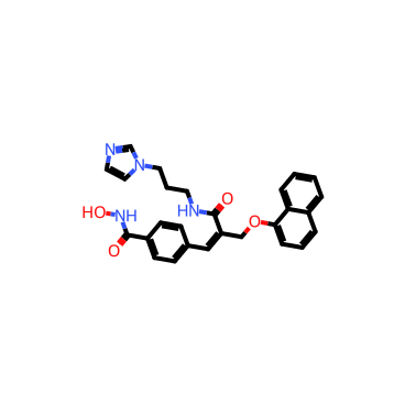 O=C(NCCCn1ccnc1)C(=Cc1ccc(C(=O)NO)cc1)COc1cccc2ccccc12